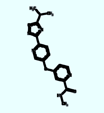 CNC(=O)c1cc(Oc2ccc(-c3noc(C(C)C)n3)nc2)ccn1